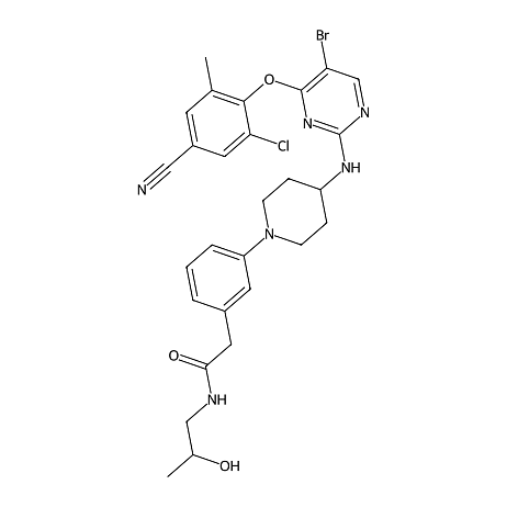 Cc1cc(C#N)cc(Cl)c1Oc1nc(NC2CCN(c3cccc(CC(=O)NCC(C)O)c3)CC2)ncc1Br